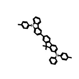 Cc1ccc(N(c2ccccc2)c2ccc3c(c2)C(C)(C)c2cc(-c4ccc5c(c4)c4ccccc4n5-c4ccc(C)cc4)ccc2-3)cc1